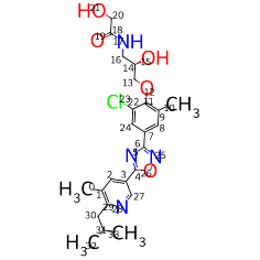 Cc1cc(-c2nc(-c3cc(C)c(OC[C@H](O)CNC(=O)CO)c(Cl)c3)no2)cnc1CC(C)C